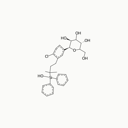 CC(C)(CCc1cc([C@@H]2OC(CO)[C@@H](O)C(O)[C@@H]2O)ccc1Cl)[Si](O)(c1ccccc1)c1ccccc1